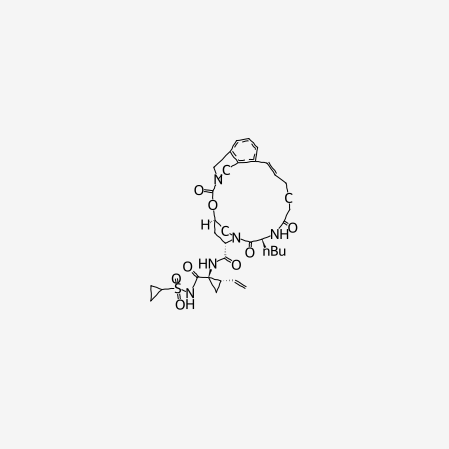 C=C[C@@H]1C[C@]1(NC(=O)[C@@H]1C[C@@H]2CN1C(=O)[C@H](CCCC)NC(=O)CCC/C=C/c1cccc3c1CN(C3)C(=O)O2)C(=O)NS(=O)(=O)C1CC1